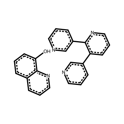 Oc1cccc2cccnc12.c1cncc(-c2cccnc2-c2cccnc2)c1